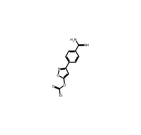 CCC(=O)Oc1cc(-c2ccc(C(=N)N)cc2)no1